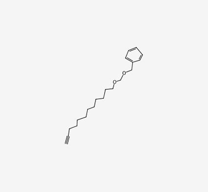 C#CCCCCCCCCCCOCOCc1ccccc1